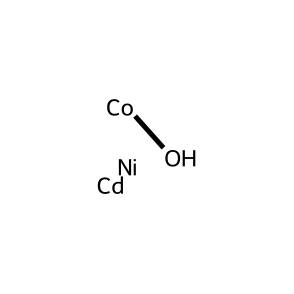 [Cd].[Ni].[OH][Co]